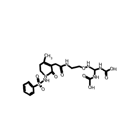 CC1=C(CC(=O)NCCONC(NC(=O)O)NC(=O)O)C(=O)N(NS(=O)(=O)c2ccccc2)CC1